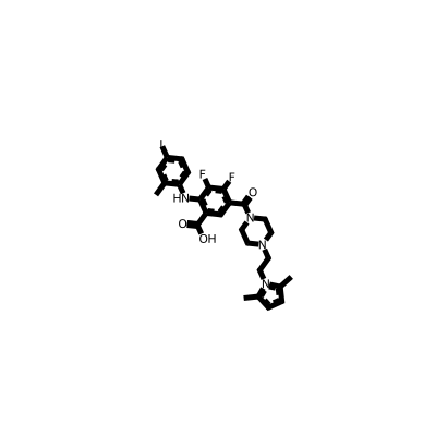 Cc1cc(I)ccc1Nc1c(C(=O)O)cc(C(=O)N2CCN(CCn3c(C)ccc3C)CC2)c(F)c1F